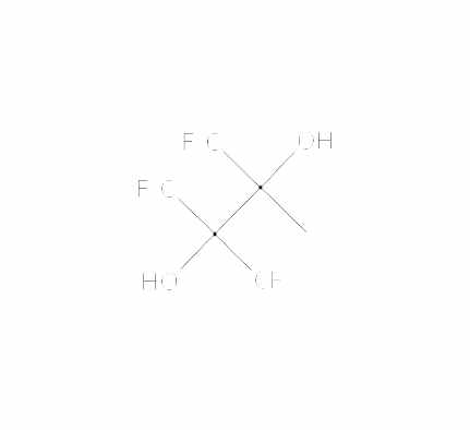 CC(O)(C(F)(F)F)C(O)(C(F)(F)F)C(F)(F)F